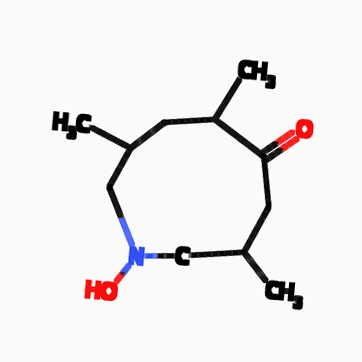 CC1CC(=O)C(C)CC(C)CN(O)C1